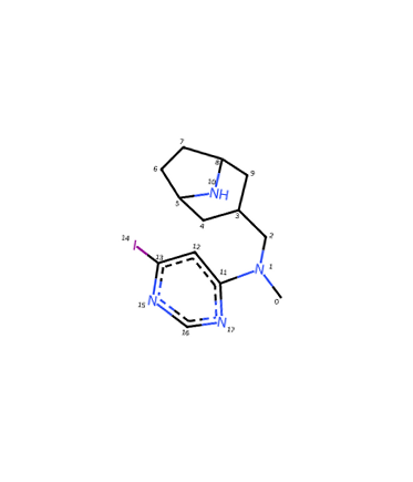 CN(CC1CC2CCC(C1)N2)c1cc(I)ncn1